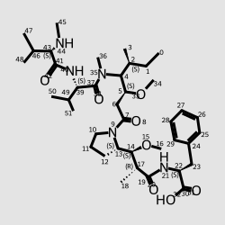 CC[C@H](C)C([C@H](CC(=O)N1CCC[C@H]1[C@@H](OC)[C@@H](C)C(=O)N[C@@H](Cc1ccccc1)C(=O)O)OC)N(C)C(=O)[C@@H](NC(=O)[C@@H](NC)C(C)C)C(C)C